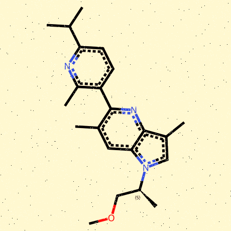 COC[C@H](C)n1cc(C)c2nc(-c3ccc(C(C)C)nc3C)c(C)cc21